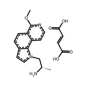 COc1nccc2c1ccc1ccn(C[C@H](C)N)c12.O=C(O)/C=C/C(=O)O